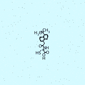 CN(C)c1cccc2c(CC(=O)N[C@@H](CS)C(=O)O)cccc12